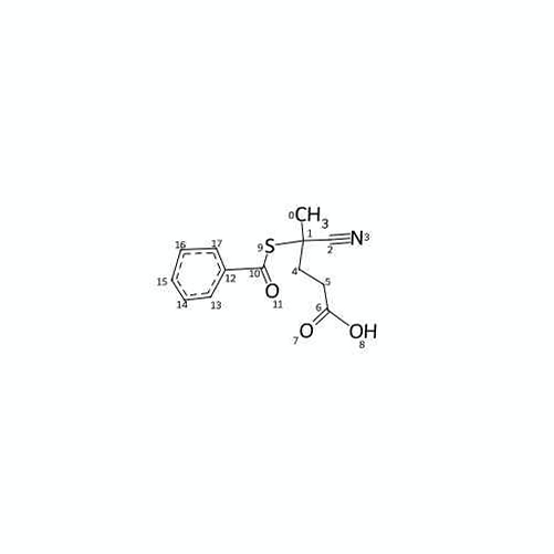 CC(C#N)(CCC(=O)O)SC(=O)c1ccccc1